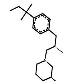 CCC(C)(C)c1ccc(C[C@H](C)CN2CCC[C@H](C)C2)cc1